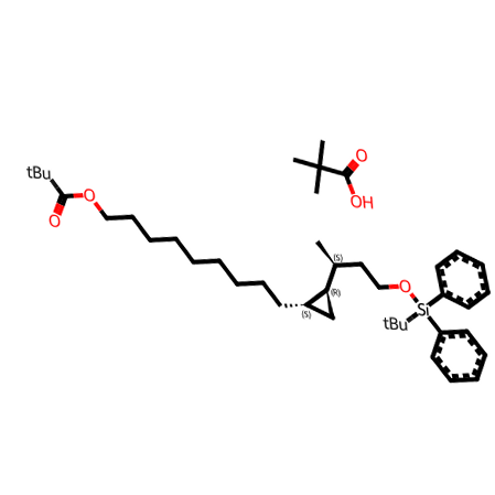 CC(C)(C)C(=O)O.C[C@@H](CCO[Si](c1ccccc1)(c1ccccc1)C(C)(C)C)[C@H]1C[C@@H]1CCCCCCCCCOC(=O)C(C)(C)C